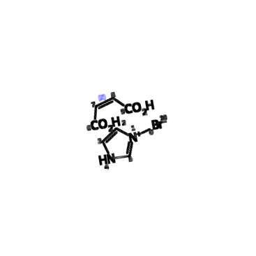 C[n+]1cc[nH]c1.O=C(O)/C=C\C(=O)O.[Br-]